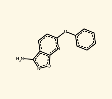 Nc1noc2nc(Oc3ccccc3)ccc12